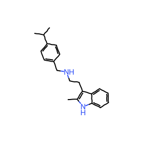 Cc1[nH]c2ccccc2c1CCNCc1ccc(C(C)C)cc1